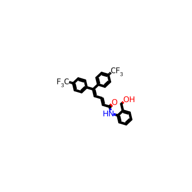 O=C(C=CC=C(c1ccc(C(F)(F)F)cc1)c1ccc(C(F)(F)F)cc1)Nc1ccccc1CO